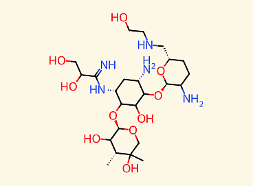 C[C@@H]1C(O)[C@@H](OC2C(O)C(O[C@H]3O[C@H](CNCCO)CCC3N)[C@@H](N)C[C@H]2NC(=N)C(O)CO)OCC1(C)O